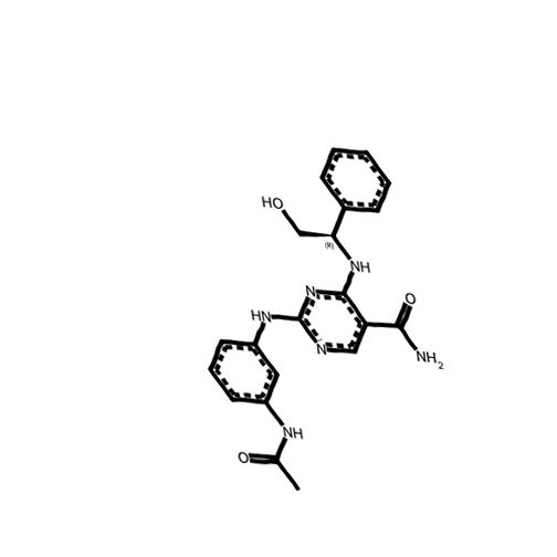 CC(=O)Nc1cccc(Nc2ncc(C(N)=O)c(N[C@@H](CO)c3ccccc3)n2)c1